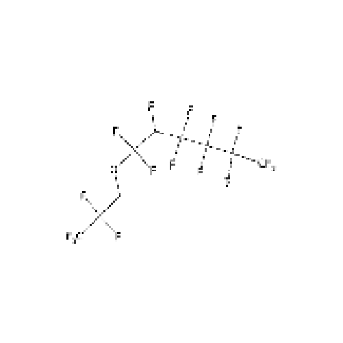 FC(C(F)(F)OCC(F)(F)C(F)(F)F)C(F)(F)C(F)(F)C(F)(F)C(F)(F)F